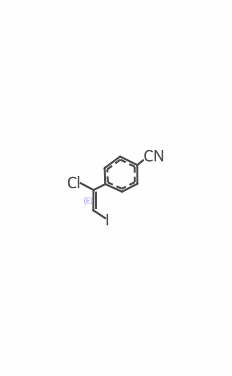 N#Cc1ccc(/C(Cl)=C\I)cc1